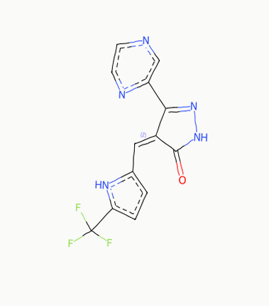 O=C1NN=C(c2cnccn2)/C1=C/c1ccc(C(F)(F)F)[nH]1